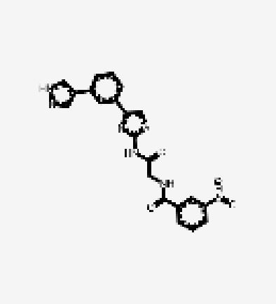 O=C(CNC(=O)c1cccc([SH](=O)=O)c1)Nc1nc(-c2cccc(-c3cn[nH]c3)c2)cs1